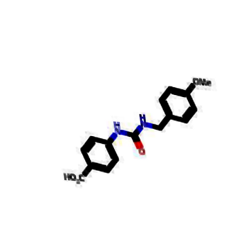 COc1ccc(CNC(=O)Nc2ccc(C(=O)O)cc2)cc1